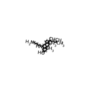 CC(C)CCC[C@@H](C)[C@H]1CCC2C3C[C@@H](NCCCCCN)C4C[C@@H](O)CC[C@]4(C)C3CC[C@@]21C